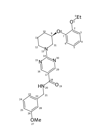 CCOc1ccccc1O[C@@H]1CCCN(c2ncc(C(=O)NCc3cccc(OC)c3)cn2)C1